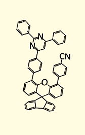 N#Cc1ccc(-c2cccc3c2Oc2c(-c4ccc(-c5cc(-c6ccccc6)nc(-c6ccccc6)n5)cc4)cccc2C32c3ccccc3-c3ccccc32)cc1